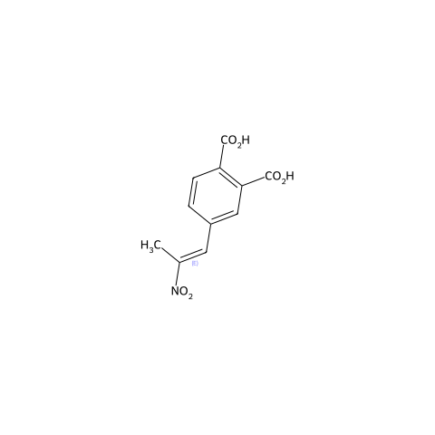 C/C(=C\c1ccc(C(=O)O)c(C(=O)O)c1)[N+](=O)[O-]